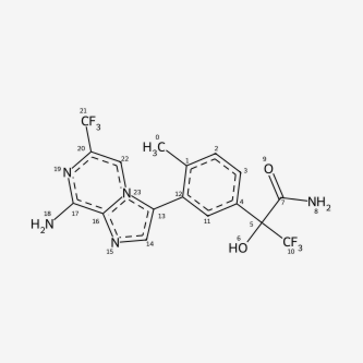 Cc1ccc(C(O)(C(N)=O)C(F)(F)F)cc1-c1cnc2c(N)nc(C(F)(F)F)cn12